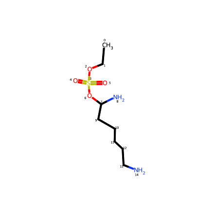 CCOS(=O)(=O)OC(N)CCCCCN